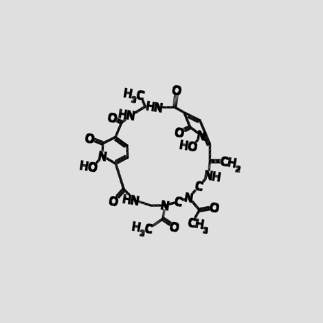 C=C1NCN(C(C)=O)CN(C(C)=O)CNC(=O)c2ccc(c(=O)n2O)C(=O)NC(C)NC(=O)c2ccc1n(O)c2=O